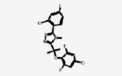 Cn1c(-c2ccc(F)cc2Cl)nnc1C(C)(C)Oc1c(F)cc(Cl)cc1F